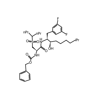 CCCC(CCC)S(=O)(=O)C[C@H](NC(=O)OCc1ccccc1)C(=O)N[C@@H](Cc1cc(F)cc(F)c1)[C@H](O)CCCCC(C)C